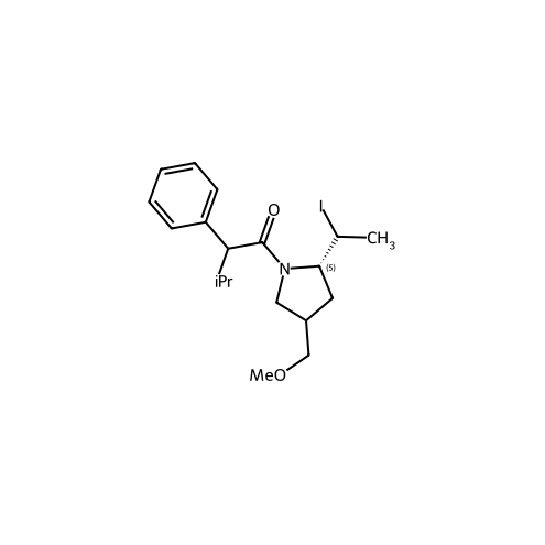 COCC1C[C@@H](C(C)I)N(C(=O)C(c2ccccc2)C(C)C)C1